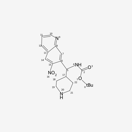 CC(C)(C)OC(=O)NC(c1cc2ncccc2cc1[N+](=O)[O-])C1CCNCC1